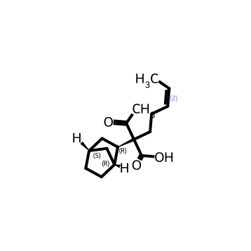 C/C=C\CCC(C(C)=O)(C(=O)O)[C@@H]1C[C@H]2CC[C@@H]1C2